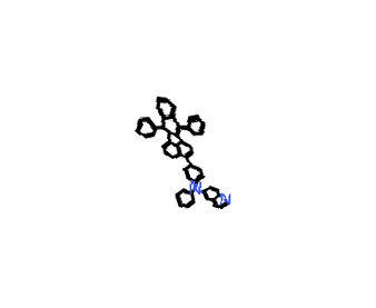 c1ccc(-c2c3c(c(-c4ccccc4)c4ccccc24)-c2ccc(-c4ccc(N(c5ccccc5)c5ccc6ncccc6c5)cc4)c4cccc-3c24)cc1